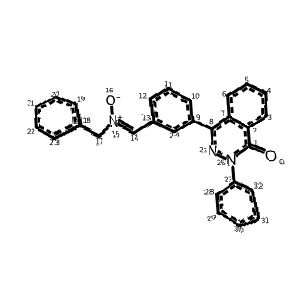 O=c1c2ccccc2c(-c2cccc(/C=[N+](\[O-])Cc3ccccc3)c2)nn1-c1ccccc1